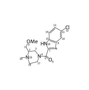 COCC1CN(C(=O)c2cc3cc(Cl)ccc3[nH]2)CCN1C